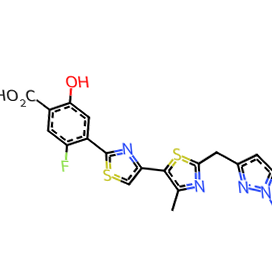 Cc1nc(Cc2ccn(C)n2)sc1-c1csc(-c2cc(O)c(C(=O)O)cc2F)n1